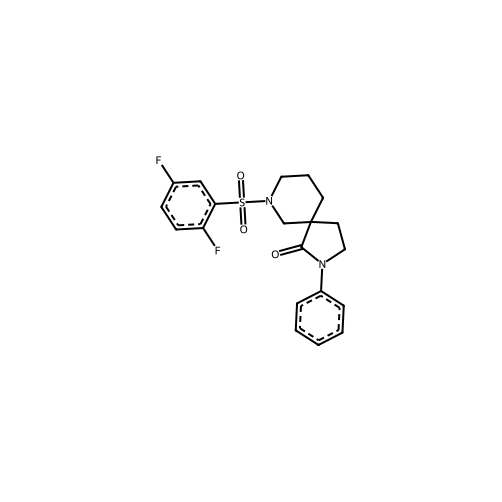 O=C1N(c2ccccc2)CCC12CCCN(S(=O)(=O)c1cc(F)ccc1F)C2